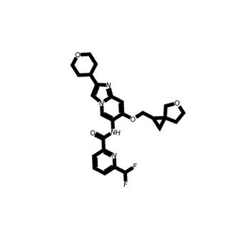 O=C(Nc1cn2cc(C3CCOCC3)nc2cc1OCC1CC12CCOC2)c1cccc(C(F)F)n1